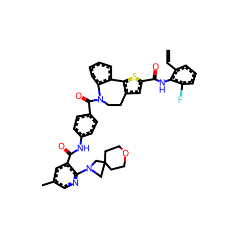 C=Cc1cccc(F)c1NC(=O)c1cc2c(s1)-c1ccccc1N(C(=O)c1ccc(NC(=O)c3cc(C)cnc3N3CC4(CCOCC4)C3)cc1)CC2